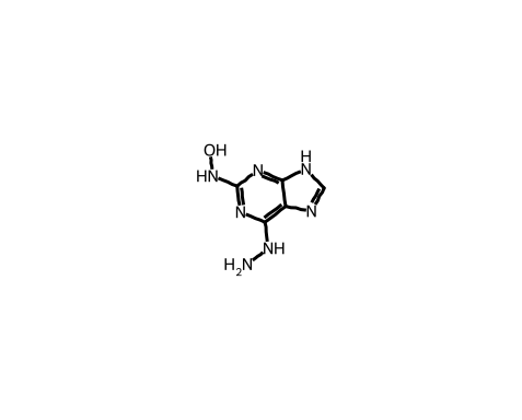 NNc1nc(NO)nc2[nH]cnc12